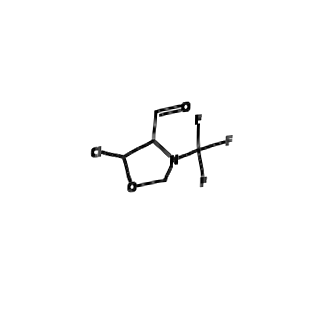 O=CC1C(Cl)OCN1C(F)(F)F